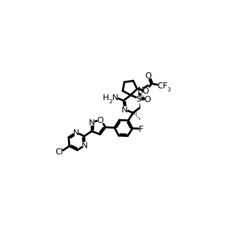 CN=[S@]1(=O)C[C@@](C)(c2cc(-c3cc(-c4ncc(Cl)cn4)no3)ccc2F)N=C(N)C12CCCC2OC(=O)C(F)(F)F